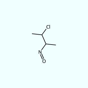 CC(Cl)C(C)N=O